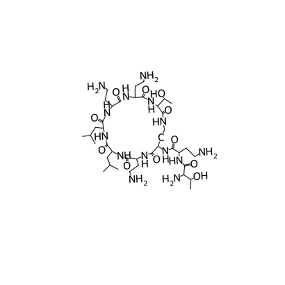 CC(C)CC1NC(=O)C(CCN)NC(=O)C(NC(=O)C(CCN)NC(=O)C(N)C(C)O)CCNC(=O)C(C(C)O)NC(=O)C(CCN)NC(=O)C(CCN)NC(=O)C(CC(C)C)NC1=O